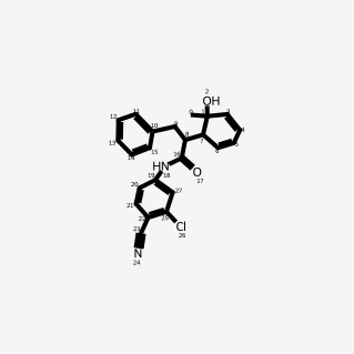 CC1(O)C=CC=CC1C(Cc1ccccc1)C(=O)Nc1ccc(C#N)c(Cl)c1